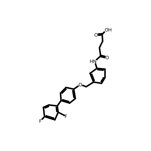 O=C(O)CCC(=O)Nc1cccc(COc2ccc(-c3ccc(F)cc3F)cc2)c1